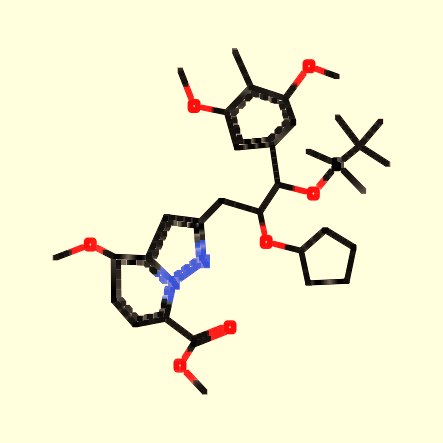 COC(=O)c1ccc(OC)c2cc(CC(OC3CCCC3)C(O[Si](C)(C)C(C)(C)C)c3cc(OC)c(C)c(OC)c3)nn12